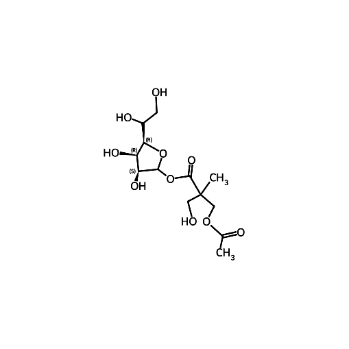 CC(=O)OCC(C)(CO)C(=O)OC1O[C@H](C(O)CO)[C@H](O)[C@@H]1O